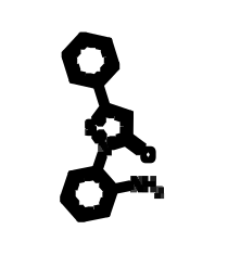 Nc1ccccc1-n1sc(-c2ccccc2)cc1=O